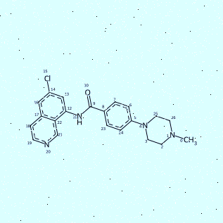 CN1CCN(c2ccc(C(=O)Nc3cc(Cl)cc4ccncc34)cc2)CC1